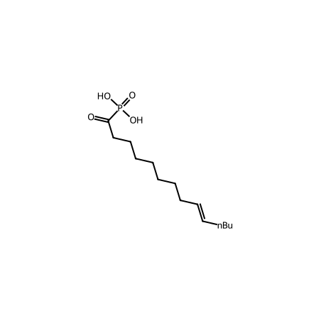 CCCCC=CCCCCCCCC(=O)P(=O)(O)O